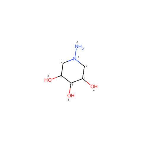 NN1CC(O)C(O)C(O)C1